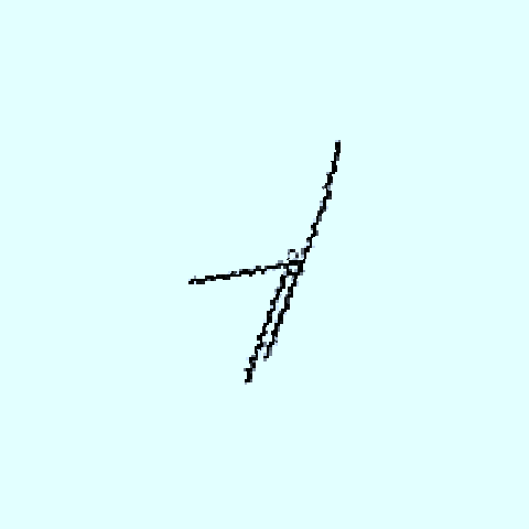 CCCCCCCCCCCCCCCCCCCCC(CCCCCCCCCCCCCCCC)C(=O)C(CCCCCCCCCCCCCCCC)CCCCCCCCCCCCCCCCCCCC